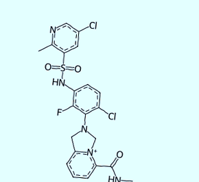 CNC(=O)c1cccc2[n+]1CN(c1c(Cl)ccc(NS(=O)(=O)c3cc(Cl)cnc3C)c1F)C2